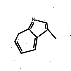 CC1=CN=C2CC=CC=C12